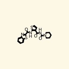 O=C(Nc1sccc1C(=O)NC(=O)N1CCCCC1)c1nc2ccccc2s1